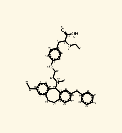 CCOC(Cc1ccc(OCCN(C)C2c3ccc(CC)cc3CCc3ccc(Cc4ccccc4)cc32)cc1)C(=O)O